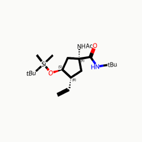 C=C[C@H]1C[C@](NC(C)=O)(C(=O)NC(C)(C)C)C[C@@H]1O[Si](C)(C)C(C)(C)C